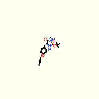 CC#CCOc1ccc(C[C@H](NC(=O)OC(C)(C)C)C(=O)NC)cc1